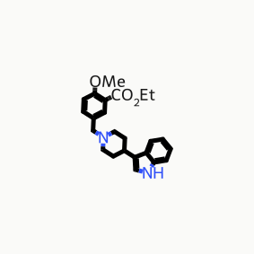 CCOC(=O)c1cc(CN2CCC(c3c[nH]c4ccccc34)CC2)ccc1OC